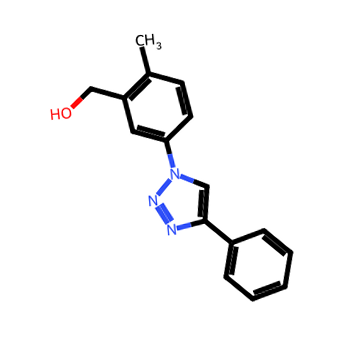 Cc1ccc(-n2cc(-c3ccccc3)nn2)cc1CO